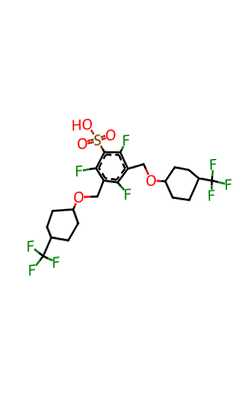 O=S(=O)(O)c1c(F)c(COC2CCC(C(F)(F)F)CC2)c(F)c(COC2CCC(C(F)(F)F)CC2)c1F